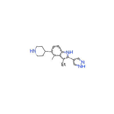 CCc1c(-c2cn[nH]c2)[nH]c2ccc(C3CCNCC3)c(C)c12